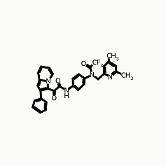 Cc1cc(C)nc(CN(C(=O)C(F)(F)F)c2ccc(NC(=O)C(=O)c3c(-c4ccccc4)cc4ccccn34)cc2)c1